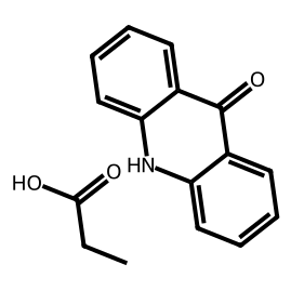 CCC(=O)O.O=c1c2ccccc2[nH]c2ccccc12